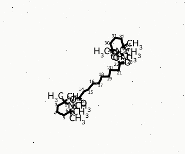 CC1(C)CCCC(C)(C)[N+]1(C)OC(=O)CCCCCCCCC(=O)O[N+]1(C)C(C)(C)CCCC1(C)C